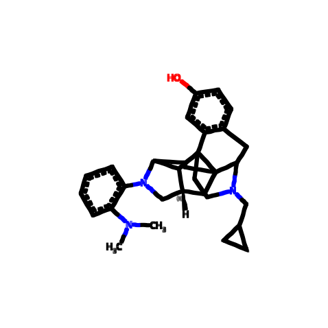 CN(C)c1ccccc1N1C[C@H]2CC34CCC1C2C31CCN(CC2CC2)C4Cc2ccc(O)cc21